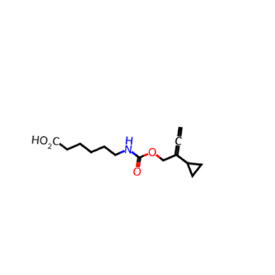 C=C=C(COC(=O)NCCCCCC(=O)O)C1CC1